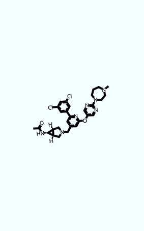 CC(=O)N[C@H]1[C@@H]2CN(Cc3cc(Oc4cnc(N5CCCN(C)CC5)nc4)nc(-c4cc(Cl)cc(Cl)c4)c3)C[C@@H]21